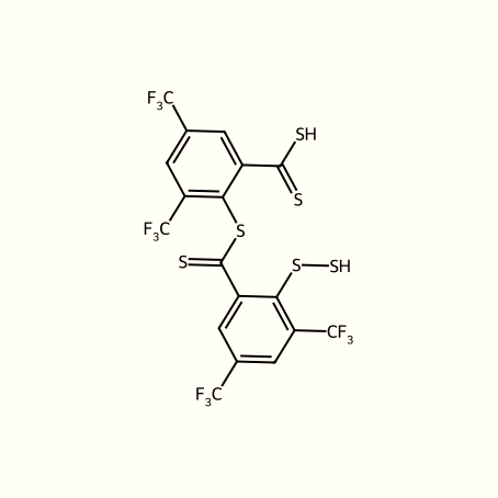 FC(F)(F)c1cc(C(=S)S)c(SC(=S)c2cc(C(F)(F)F)cc(C(F)(F)F)c2SS)c(C(F)(F)F)c1